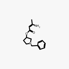 CC(N)=CC(=O)OC1CCN(Cc2ccccc2)C1